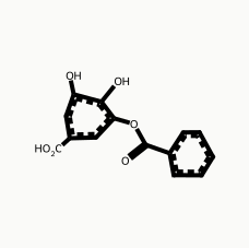 O=C(O)c1cc(O)c(O)c(OC(=O)c2ccccc2)c1